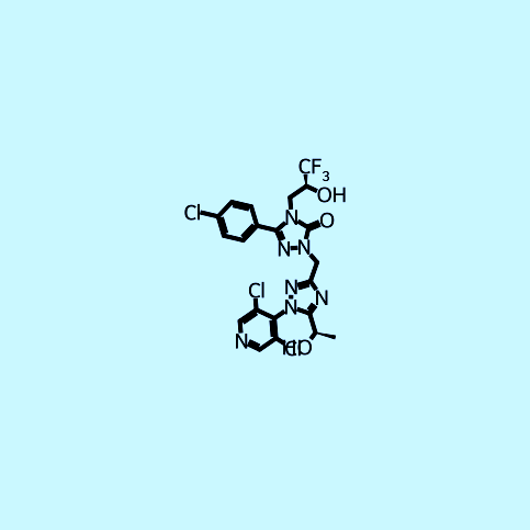 C[C@@H](O)c1nc(Cn2nc(-c3ccc(Cl)cc3)n(C[C@H](O)C(F)(F)F)c2=O)nn1-c1c(Cl)cncc1Cl